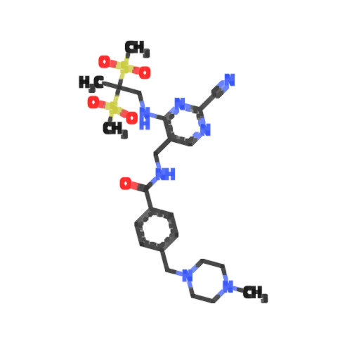 CN1CCN(Cc2ccc(C(=O)NCc3cnc(C#N)nc3NCC(C)(S(C)(=O)=O)S(C)(=O)=O)cc2)CC1